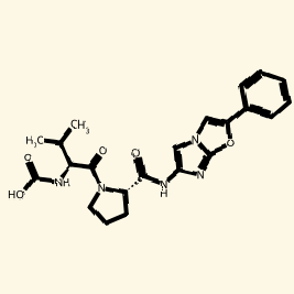 CC(C)[C@H](NC(=O)O)C(=O)N1CCC[C@H]1C(=O)Nc1cn2cc(-c3ccccc3)oc2n1